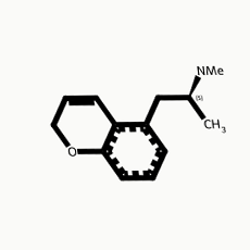 CN[C@@H](C)Cc1cccc2c1C=CCO2